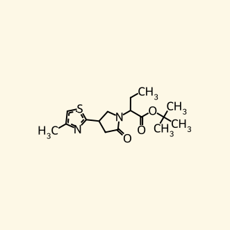 CCC(C(=O)OC(C)(C)C)N1CC(c2nc(C)cs2)CC1=O